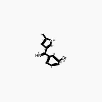 Cc1cc(C(=N)c2cccc(Br)c2)cs1